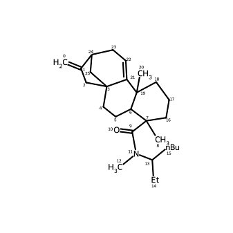 C=C1CC23CCC4C(C)(C(=O)N(C)C(CC)CCCC)CCCC4(C)C2=CCC1C3